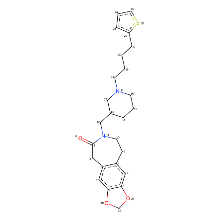 O=C1Cc2cc3c(cc2CCN1CC1CCCN(CCCCc2cccs2)C1)OCO3